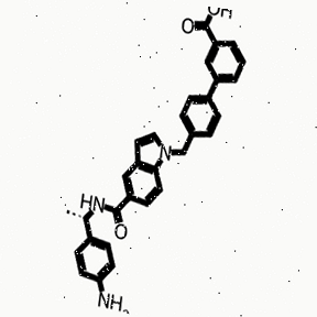 C[C@H](NC(=O)c1ccc2c(ccn2Cc2ccc(-c3cccc(C(=O)O)c3)cc2)c1)c1ccc(N)cc1